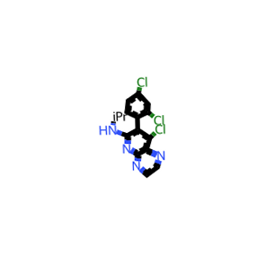 CC(C)Nc1nc2nccnc2c(Cl)c1-c1ccc(Cl)cc1Cl